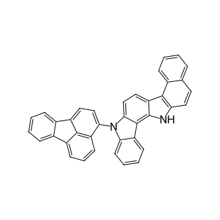 c1ccc2c(c1)-c1cccc3c(-n4c5ccccc5c5c6[nH]c7ccc8ccccc8c7c6ccc54)ccc-2c13